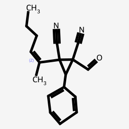 CCC/C=C(/C)C1(C#N)C(c2ccccc2)C1(C#N)C=O